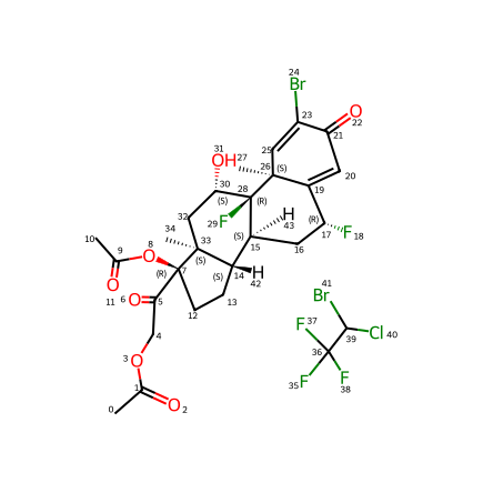 CC(=O)OCC(=O)[C@@]1(OC(C)=O)CC[C@H]2[C@@H]3C[C@@H](F)C4=CC(=O)C(Br)=C[C@]4(C)[C@@]3(F)[C@@H](O)C[C@@]21C.FC(F)(F)C(Cl)Br